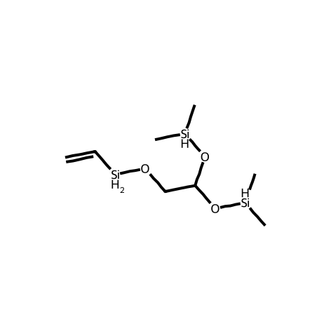 C=C[SiH2]OCC(O[SiH](C)C)O[SiH](C)C